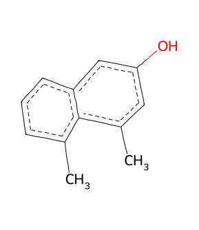 Cc1cccc2cc(O)cc(C)c12